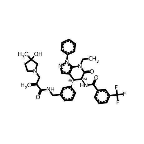 C=C(CN1CCC(C)(O)C1)C(=O)NCc1cccc([C@@H]2c3cnn(-c4ccccc4)c3N(CC)C(=O)[C@H]2NC(=O)c2cccc(C(F)(F)F)c2)c1